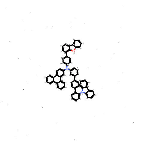 c1cc(-c2ccc(-c3ccccc3-n3c4ccccc4c4ccccc43)cc2)cc(N(c2ccc(-c3cccc4c3oc3ccccc34)cc2)c2ccc3c4ccccc4c4ccccc4c3c2)c1